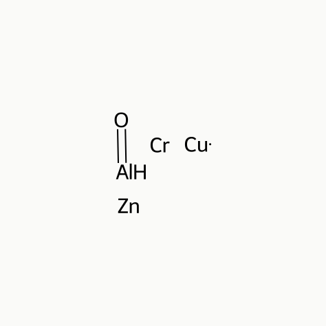 [Cr].[Cu].[O]=[AlH].[Zn]